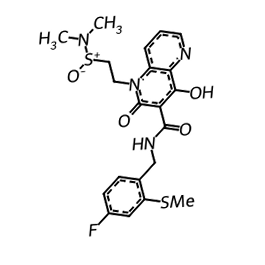 CSc1cc(F)ccc1CNC(=O)c1c(O)c2ncccc2n(CC[S+]([O-])N(C)C)c1=O